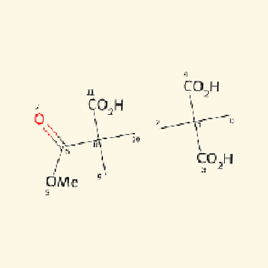 CC(C)(C(=O)O)C(=O)O.COC(=O)C(C)(C)C(=O)O